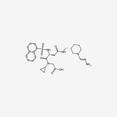 NN=CN1CCC[C@@H](CNC(=O)C[C@H](NS(=O)(=O)c2cccc3ccccc23)C(=O)N(CC(=O)O)C2CC2)C1